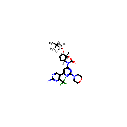 CC(C)(C)[Si](C)(C)O[C@@H]1CC[C@@H]2[C@H]1OC(=O)N2c1cc(-c2cnc(N)nc2C(F)(F)F)nc(N2CCOCC2)n1